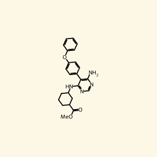 COC(=O)C1CCCC(Nc2ncnc(N)c2-c2ccc(Oc3ccccc3)cc2)C1